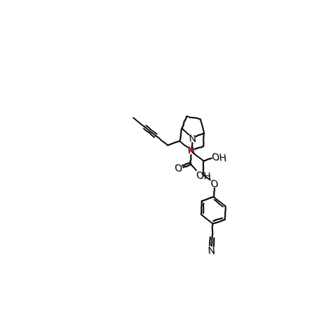 CC#CCC1C2CCC(CN1C(=O)O)N2CC(O)COc1ccc(C#N)cc1